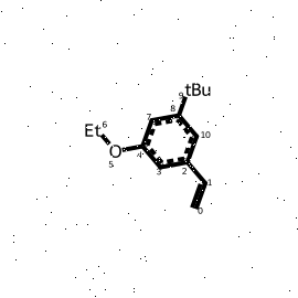 C=[C]c1cc(OCC)cc(C(C)(C)C)c1